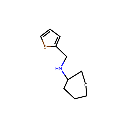 c1csc(CNC2CCCCC2)c1